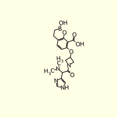 CN(C)C(C(=O)N1CC(Oc2ccc3c(c2C(=O)O)OB(O)CC3)C1)c1c[nH]cn1